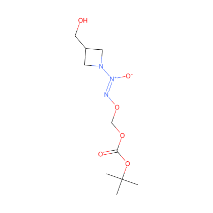 CC(C)(C)OC(=O)OCO/N=[N+](\[O-])N1CC(CO)C1